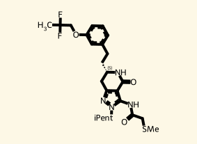 CCCC(C)n1nc2c(c1NC(=O)CSC)C(=O)N[C@@H](CCc1cccc(OCC(C)(F)F)c1)C2